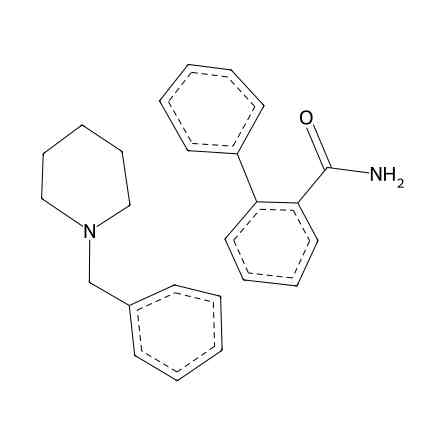 NC(=O)c1ccccc1-c1ccccc1.c1ccc(CN2CCCCC2)cc1